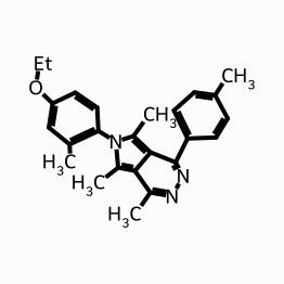 CCOc1ccc(-n2c(C)c3c(C)nnc(-c4ccc(C)cc4)c3c2C)c(C)c1